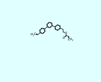 C=CC(=O)OCCc1ccc(-c2cccc(-c3ccc(C=C)cc3)c2)cc1